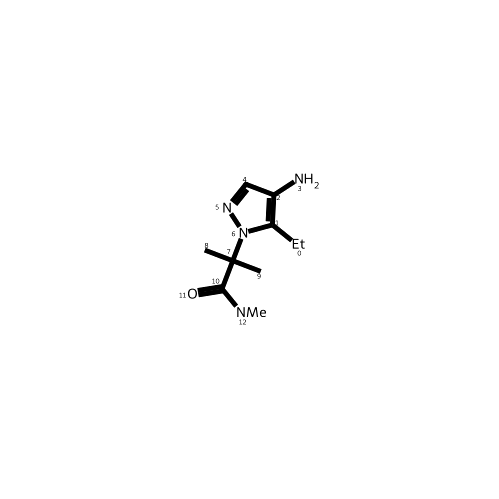 CCc1c(N)cnn1C(C)(C)C(=O)NC